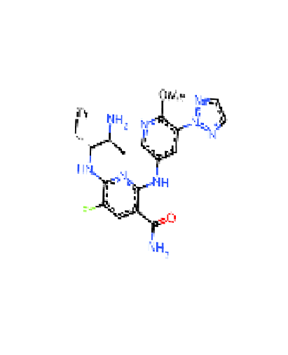 COc1ncc(Nc2nc(N[C@H](CC(C)C)[C@H](C)N)c(F)cc2C(N)=O)cc1-n1nccn1